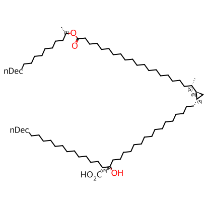 CCCCCCCCCCCCCCCCCCCCCC[C@@H](C(=O)O)[C@H](O)CCCCCCCCCCCCCCCC[C@H]1C[C@@H]1[C@@H](C)CCCCCCCCCCCCCCCCCCC(=O)O[C@@H](C)CCCCCCCCCCCCCCCCCC